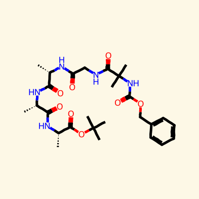 C[C@H](NC(=O)CNC(=O)C(C)(C)NC(=O)OCc1ccccc1)C(=O)N[C@@H](C)C(=O)N[C@@H](C)C(=O)OC(C)(C)C